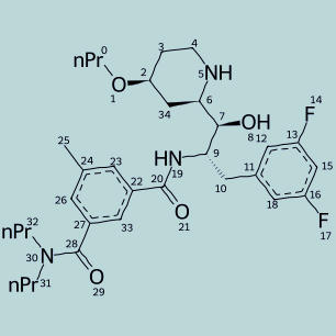 CCCO[C@H]1CCN[C@@H]([C@@H](O)[C@H](Cc2cc(F)cc(F)c2)NC(=O)c2cc(C)cc(C(=O)N(CCC)CCC)c2)C1